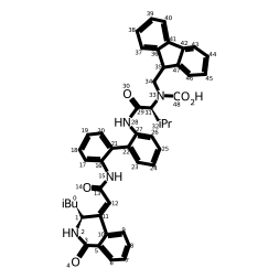 CC[C@H](C)[C@@H]1NC(=O)c2ccccc2/C1=C/C(=O)Nc1ccccc1-c1ccccc1NC(=O)[C@H](C(C)C)N(CC1c2ccccc2-c2ccccc21)C(=O)O